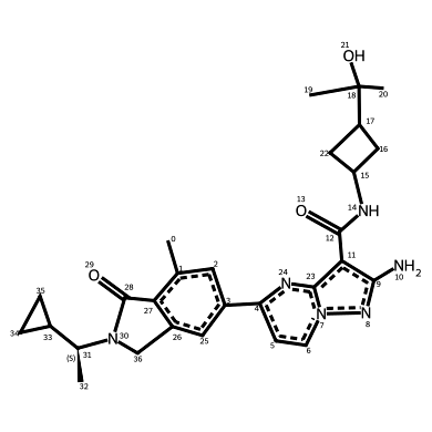 Cc1cc(-c2ccn3nc(N)c(C(=O)NC4CC(C(C)(C)O)C4)c3n2)cc2c1C(=O)N([C@@H](C)C1CC1)C2